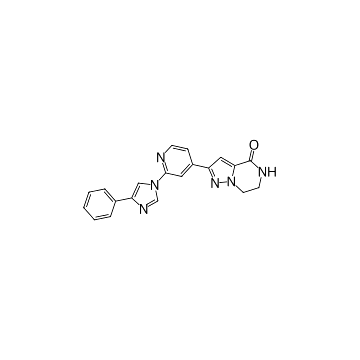 O=C1NCCn2nc(-c3ccnc(-n4cnc(-c5ccccc5)c4)c3)cc21